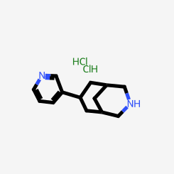 Cl.Cl.c1cncc(C2CC3CNCC(C3)C2)c1